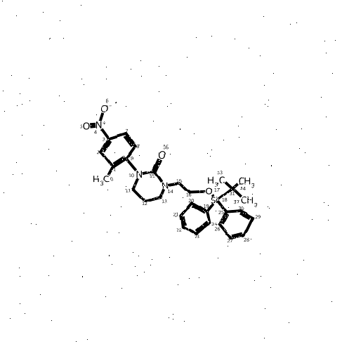 Cc1cc([N+](=O)[O-])ccc1N1CCCN(CCO[Si](c2ccccc2)(c2ccccc2)C(C)(C)C)C1=O